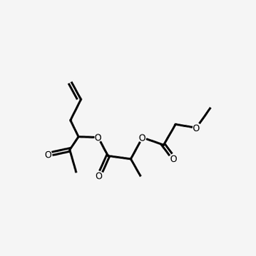 C=CCC(OC(=O)C(C)OC(=O)COC)C(C)=O